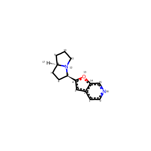 c1cc2cc([C@H]3CC[C@H]4CCCN43)oc2cn1